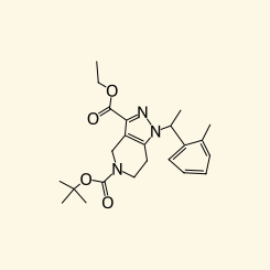 CCOC(=O)c1nn(C(C)c2ccccc2C)c2c1CN(C(=O)OC(C)(C)C)CC2